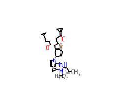 C=C(C)/C=C(/Nc1cccn1C1CCc2sc(CC(=O)C3CC3)c(C(=O)CCC3CC3)c2C1)N(C)C1CC1